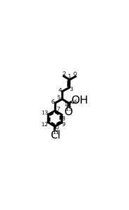 CC(C)=CCC(Cc1ccc(Cl)cc1)C(=O)O